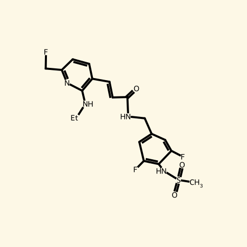 CCNc1nc(CF)ccc1/C=C/C(=O)NCc1cc(F)c(NS(C)(=O)=O)c(F)c1